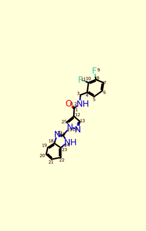 O=C(NCc1cccc(F)c1F)c1cnn(-c2nc3ccccc3[nH]2)c1